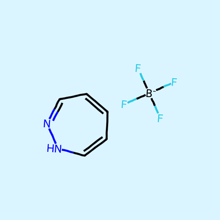 C1=CC=NNC=C1.F[B-](F)(F)F